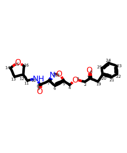 O=C(COCc1cc(C(=O)NCC2CCOC2)no1)Cc1ccccc1